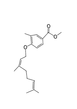 COC(=O)c1ccc(OCC=C(C)CCC=C(C)C)c(C)c1